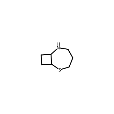 C1CNC2CCC2SC1